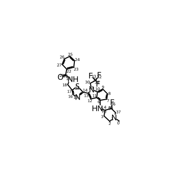 CN1CC[C@@H](Nc2cccc3c2cc(-c2ncc(CNC(=O)c4ccccc4)s2)n3CC(F)(F)F)[C@@H](F)C1